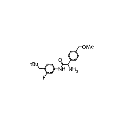 COCc1ccc(C(N)C(=O)Nc2ccc(CC(C)(C)C)c(F)c2)cc1